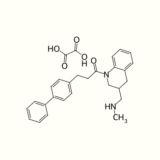 CNCC1Cc2ccccc2N(C(=O)CCc2ccc(-c3ccccc3)cc2)C1.O=C(O)C(=O)O